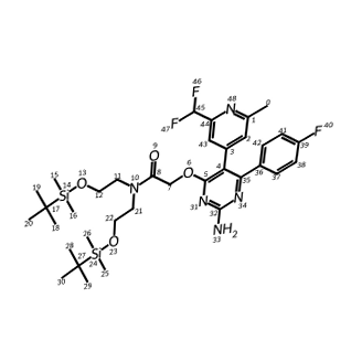 Cc1cc(-c2c(OCC(=O)N(CCO[Si](C)(C)C(C)(C)C)CCO[Si](C)(C)C(C)(C)C)nc(N)nc2-c2ccc(F)cc2)cc(C(F)F)n1